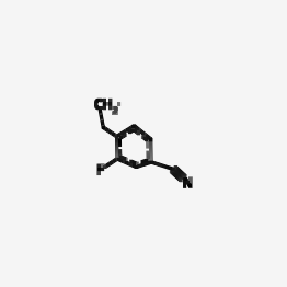 [CH2]Cc1ccc(C#N)cc1F